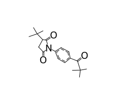 CC(C)(C)C(=O)c1ccc(N2C(=O)CC(C(C)(C)C)C2=O)cc1